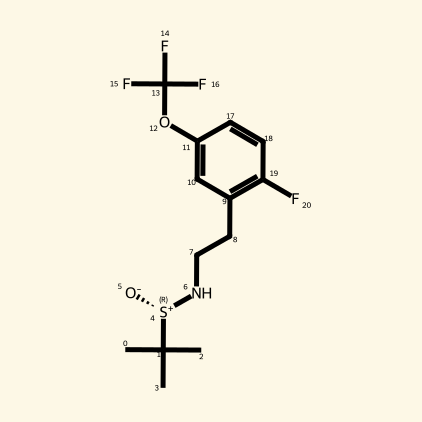 CC(C)(C)[S@+]([O-])NCCc1cc(OC(F)(F)F)ccc1F